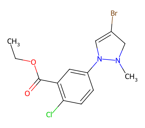 CCOC(=O)c1cc(N2C=C(Br)CN2C)ccc1Cl